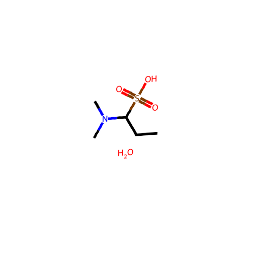 CCC(N(C)C)S(=O)(=O)O.O